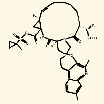 Cc1nc2cc(Cl)ccc2c2c1O[C@]1(CC2)C[C@H]2C(=O)N[C@]3(C(=O)NS(=O)(=O)C4(C)CC4)C[C@H]3/C=C\CCCCC[C@H](N(C(=O)O)C(C)C)C(=O)N2C1